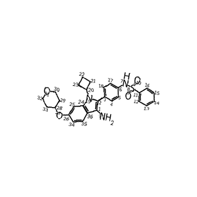 Nc1c(-c2ccc(NS(=O)(=O)c3ccccc3)cc2)n(C2CCC2)c2cc(OC3CCOCC3)ccc12